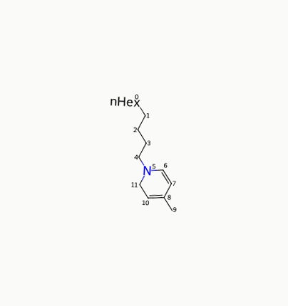 CCCCCCCCCCN1C=CC(C)=CC1